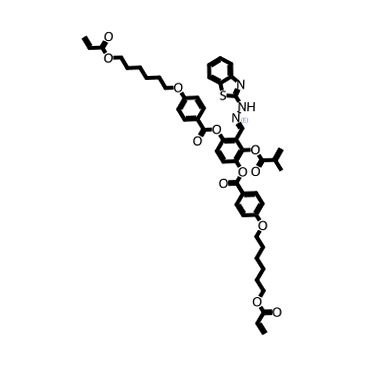 C=CC(=O)OCCCCCCOc1ccc(C(=O)Oc2ccc(OC(=O)c3ccc(OCCCCCCOC(=O)C=C)cc3)c(OC(=O)C(=C)C)c2/C=N/Nc2nc3ccccc3s2)cc1